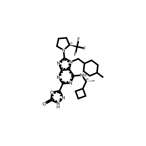 CC1CCC(Cn2c(N3CCC[C@H]3C(F)(F)F)nc3nc(-c4n[nH]c(=O)o4)nc(N[C@H](C)C4CCC4)c32)CC1